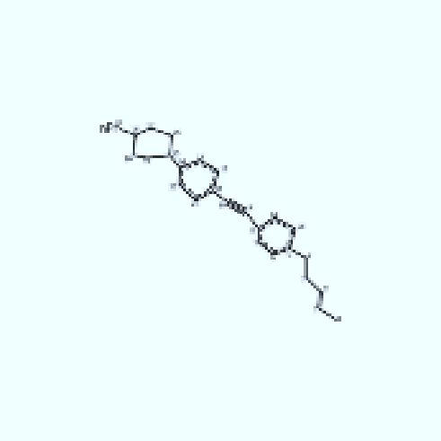 CC=CCCc1ccc(C#Cc2ccc(C3CCC(CCC)CC3)cc2)cc1